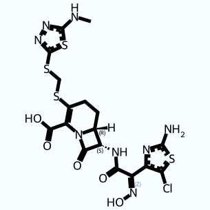 CNc1nnc(SCSC2=C(C(=O)O)N3C(=O)[C@@H](NC(=O)/C(=N\O)c4nc(N)sc4Cl)[C@H]3CC2)s1